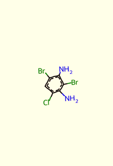 Nc1c(Cl)cc(Br)c(N)c1Br